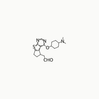 CN(C)C1CCC(Oc2ncnc3sc4c(c23)C(CC=O)CC4)CC1